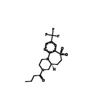 CCCC(=O)N1CCN2c3ncc(C(F)(F)F)cc3S(=O)(=O)CC[C@H]2C1